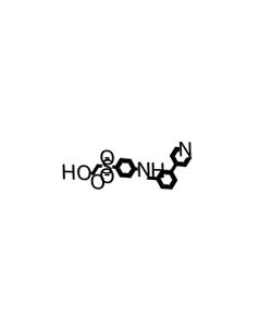 O=C(O)CS(=O)(=O)c1ccc(NCc2cccc(-c3ccncc3)c2)cc1